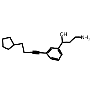 NCCC(O)c1cccc(C#CCCC2CCCC2)c1